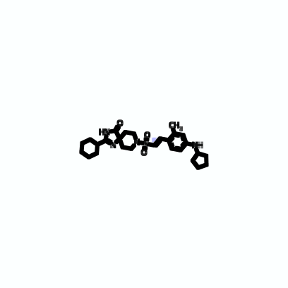 Cc1cc(NC2CCCC2)ccc1/C=C/S(=O)(=O)N1CCC2(CC1)N=C(C1CCCCC1)NC2=O